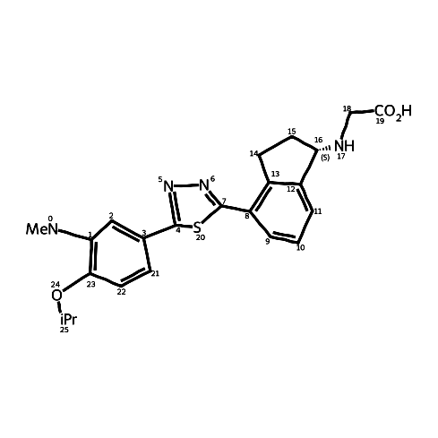 CNc1cc(-c2nnc(-c3cccc4c3CC[C@@H]4NCC(=O)O)s2)ccc1OC(C)C